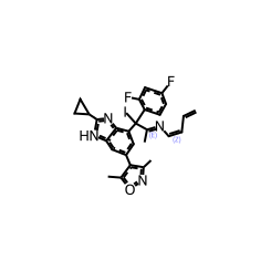 C=C/C=C\N=C(/C)C(I)(c1ccc(F)cc1F)c1cc(-c2c(C)noc2C)cc2[nH]c(C3CC3)nc12